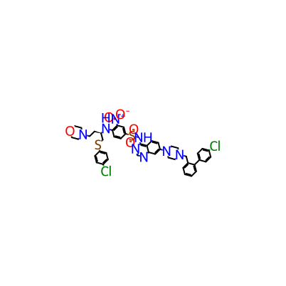 O=[N+]([O-])c1cc(S(=O)(=O)Nc2ncnc3cc(N4CCN(Cc5ccccc5-c5ccc(Cl)cc5)CC4)ccc23)ccc1N[C@H](CCN1CCOCC1)CSc1ccc(Cl)cc1